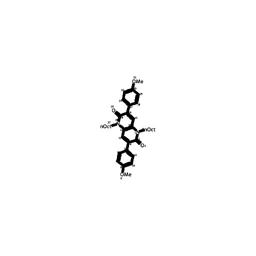 CCCCCCCCn1c(=O)c(-c2ccc(OC)cc2)cc2c1cc(-c1ccc(OC)cc1)c(=O)n2CCCCCCCC